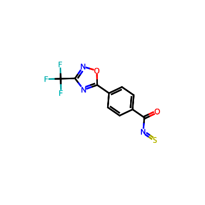 O=C(N=S)c1ccc(-c2nc(C(F)(F)F)no2)cc1